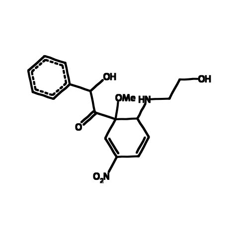 COC1(C(=O)C(O)c2ccccc2)C=C([N+](=O)[O-])C=CC1NCCO